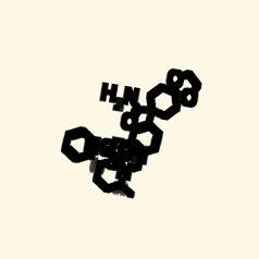 C[C@H]1CC[C@H](c2ccccc2)S(O)(O)N1Cc1ccc(C2(C(N)=O)CCC3(CC2)OCCO3)cc1F